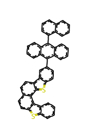 c1ccc2c(-c3c4ccccc4c(-c4ccc5sc6c(ccc7ccc8sc9ccccc9c8c76)c5c4)c4ccccc34)cccc2c1